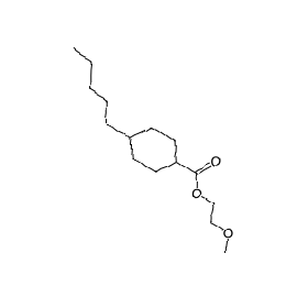 CCCCCC1CCC(C(=O)OCCOC)CC1